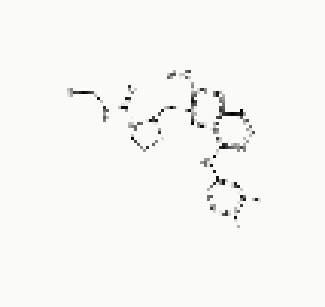 C#CCNC(=O)[C@H]1CCCN1Cc1cc2c(Nc3ccc(F)c(Cl)c3)ncnc2cc1OC